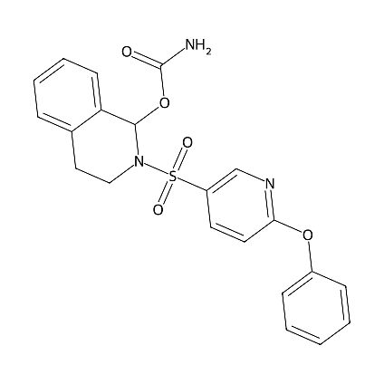 NC(=O)OC1c2ccccc2CCN1S(=O)(=O)c1ccc(Oc2ccccc2)nc1